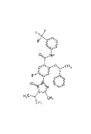 Cc1nn(-c2cc(OC(C)c3ccccc3)c(C(=O)Nc3cccc(C(F)(F)F)c3)cc2F)c(=O)n1C(C)C